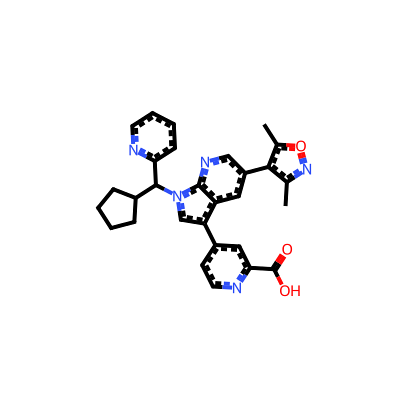 Cc1noc(C)c1-c1cnc2c(c1)c(-c1ccnc(C(=O)O)c1)cn2C(c1ccccn1)C1CCCC1